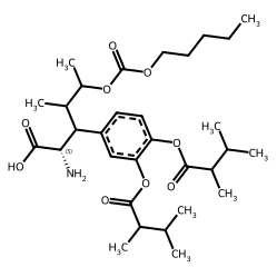 CCCCCOC(=O)OC(C)C(C)C(c1ccc(OC(=O)C(C)C(C)C)c(OC(=O)C(C)C(C)C)c1)[C@H](N)C(=O)O